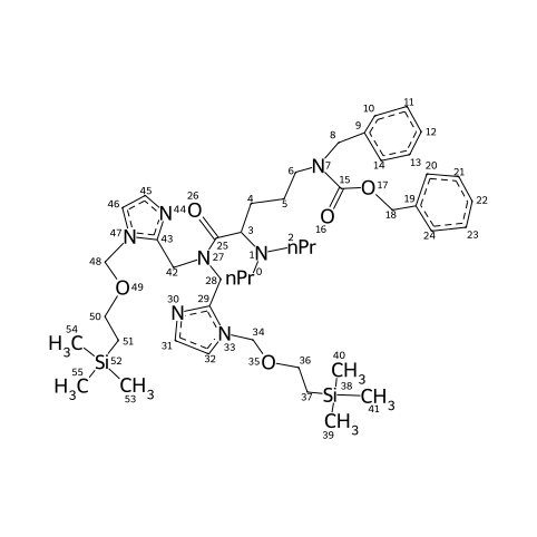 CCCN(CCC)C(CCCN(Cc1ccccc1)C(=O)OCc1ccccc1)C(=O)N(Cc1nccn1COCC[Si](C)(C)C)Cc1nccn1COCC[Si](C)(C)C